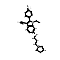 CCn1c(-c2ccc(N)cc2)c(C#N)c2ccc(OCCCN3CCCC3)cc21